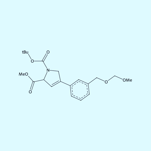 COCOCc1cccc(C2=CC(C(=O)OC)N(C(=O)OC(C)(C)C)C2)c1